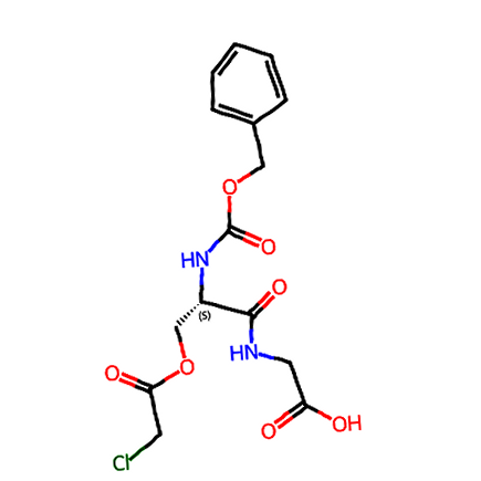 O=C(O)CNC(=O)[C@H](COC(=O)CCl)NC(=O)OCc1ccccc1